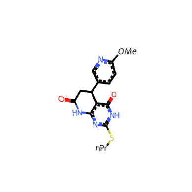 CCCSc1nc2c(c(=O)[nH]1)C(c1ccc(OC)nc1)CC(=O)N2